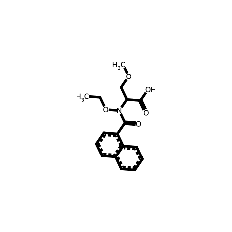 CCON(C(=O)c1cccc2ccccc12)C(COC)C(=O)O